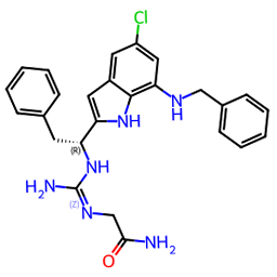 NC(=O)C/N=C(/N)N[C@H](Cc1ccccc1)c1cc2cc(Cl)cc(NCc3ccccc3)c2[nH]1